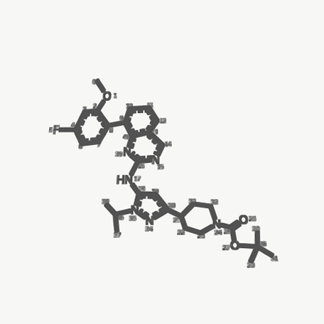 COc1cc(F)ccc1-c1cccc2cnc(Nc3cc(C4CCN(C(=O)OC(C)(C)C)CC4)nn3C(C)C)nc12